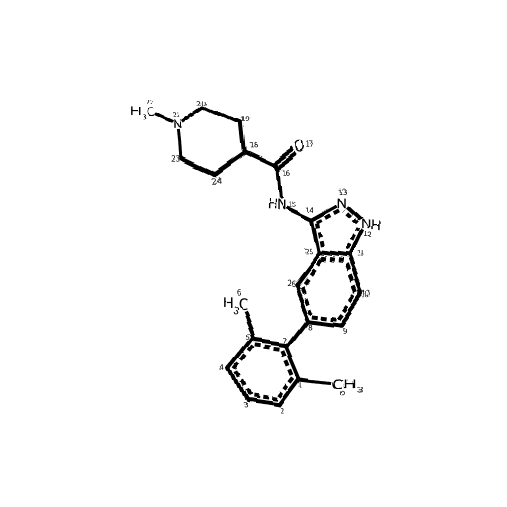 Cc1cccc(C)c1-c1ccc2[nH]nc(NC(=O)C3CCN(C)CC3)c2c1